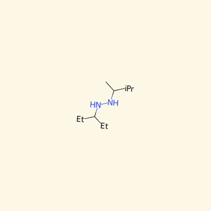 CCC(CC)NNC(C)C(C)C